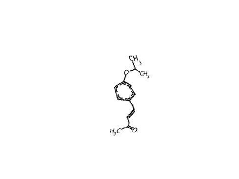 CC(=O)/C=C/c1ccc(OC(C)C)cc1